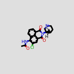 CC(=O)Nc1c(Cl)cc2c3c(cccc13)C(=O)N([C@@H]1CN3CCC1CC3)C2=O